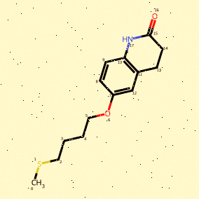 CSCCCCOc1ccc2c(c1)CCC(=O)N2